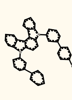 Cc1ccc(-c2cccc(-n3c4ccccc4c4c5c6ccccc6n(-c6cccc(-c7ccccc7)c6)c5ccc43)c2)cc1